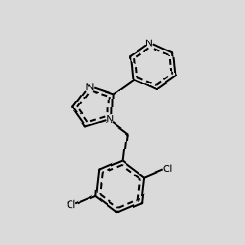 Clc1ccc(Cl)c(Cn2ccnc2-c2cccnc2)c1